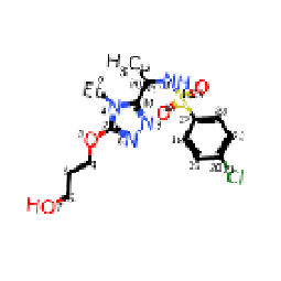 CCn1c(OCCCO)nnc1[C@@H](C)NS(=O)(=O)c1ccc(Cl)cc1